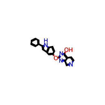 Oc1nc(Oc2ccc3[nH]c(-c4ccccc4)cc3c2)nc2cnccc12